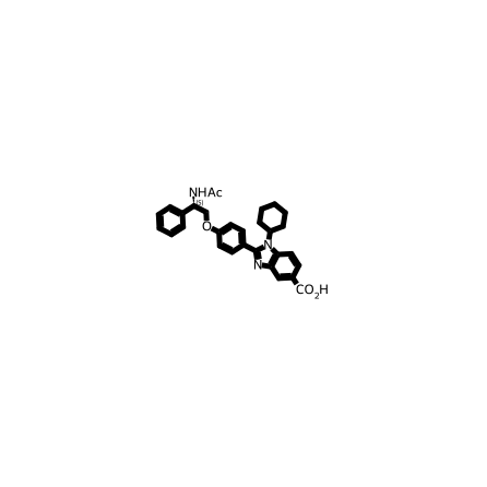 CC(=O)N[C@H](COc1ccc(-c2nc3cc(C(=O)O)ccc3n2C2CCCCC2)cc1)c1ccccc1